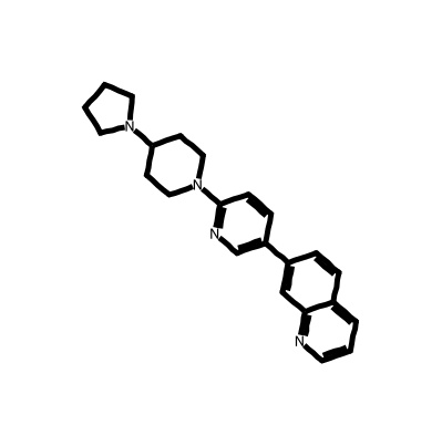 c1cnc2cc(-c3ccc(N4CCC(N5CCCC5)CC4)nc3)ccc2c1